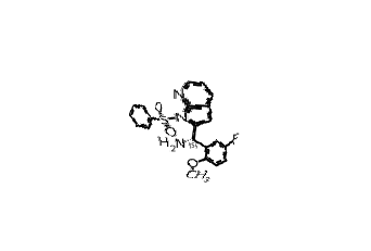 COc1ccc(F)cc1[C@H](N)c1cc2cccnc2n1S(=O)(=O)c1ccccc1